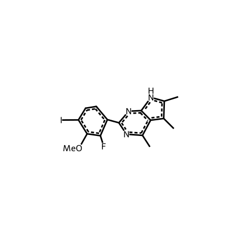 COc1c(I)ccc(-c2nc(C)c3c(C)c(C)[nH]c3n2)c1F